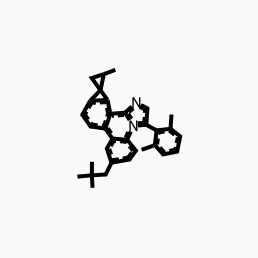 Cc1cccc(C)c1-c1cnc2c3c4c(ccc3c3cc(CC(C)(C)C)ccc3n12)C41CC1C